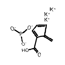 C=C1C=CC=C1C(=O)O.[K+].[K+].[K+].[O-]P([O-])[O-]